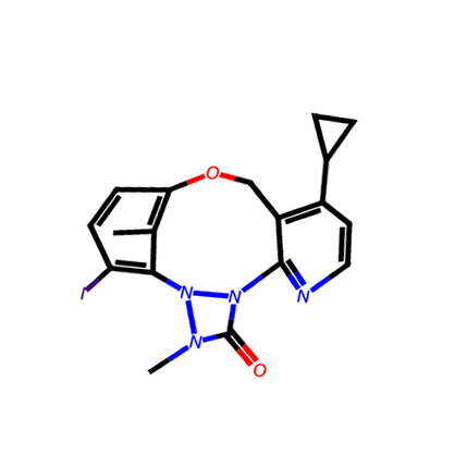 Cc1c2ccc(I)c1-n1n(C)c(=O)n1-c1nccc(C3CC3)c1CO2